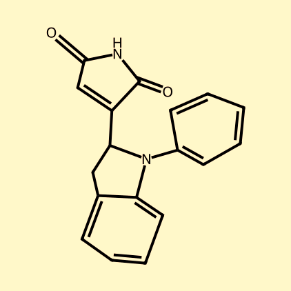 O=C1C=C(C2Cc3ccccc3N2c2ccccc2)C(=O)N1